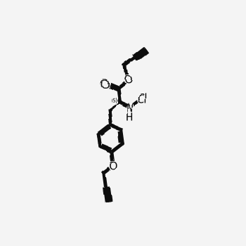 C#CCOC(=O)[C@H](Cc1ccc(OCC#C)cc1)NCl